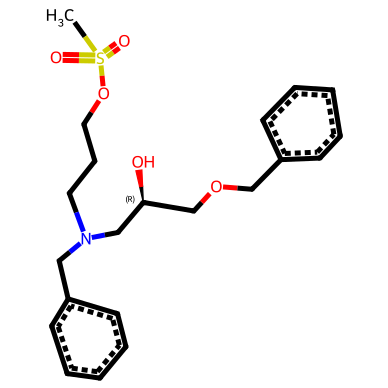 CS(=O)(=O)OCCCN(Cc1ccccc1)C[C@@H](O)COCc1ccccc1